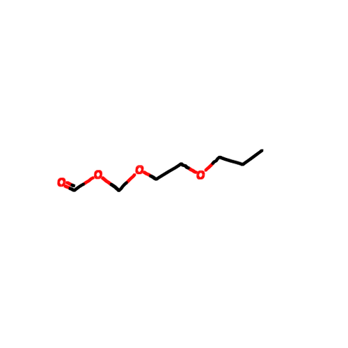 CCCOCCOCOC=O